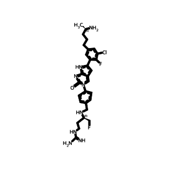 C[C@H](N)CCCc1cc(Cl)c(F)c(-c2cc3cn(-c4ccc(CN[C@@H](CF)CCNC(=N)N)cc4)c(=O)nc3[nH]2)c1